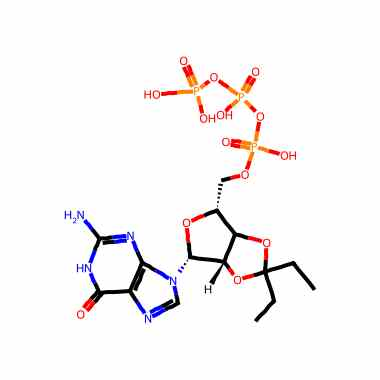 CCC1(CC)OC2[C@@H](COP(=O)(O)OP(=O)(O)OP(=O)(O)O)O[C@@H](n3cnc4c(=O)[nH]c(N)nc43)[C@H]2O1